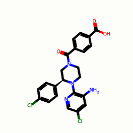 Nc1cc(Cl)cnc1N1CCN(C(=O)c2ccc(C(=O)O)cc2)C[C@@H]1c1ccc(Cl)cc1